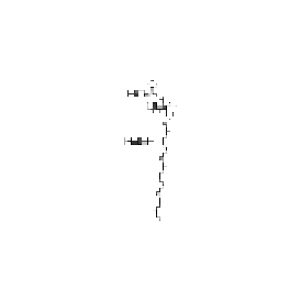 CCCCCCCCCCCCOS(=O)(=O)OP(=O)(O)O.[NaH].[NaH]